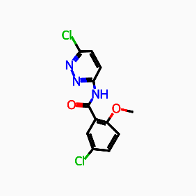 COc1ccc(Cl)cc1C(=O)Nc1ccc(Cl)nn1